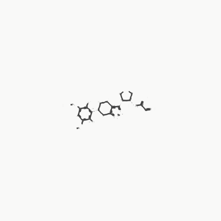 C=CC(=O)N[C@@H]1COC[C@@H]1c1n[nH]c2c1CC[C@H](c1c(Cl)c(OC)cc(OC)c1Cl)C2